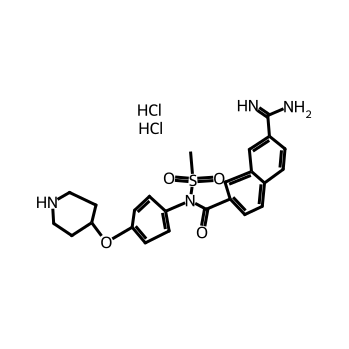 CS(=O)(=O)N(C(=O)c1ccc2ccc(C(=N)N)cc2c1)c1ccc(OC2CCNCC2)cc1.Cl.Cl